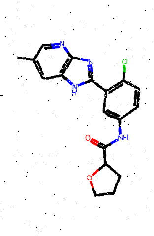 Cc1cnc2nc(-c3cc(NC(=O)C4CCCO4)ccc3Cl)[nH]c2c1